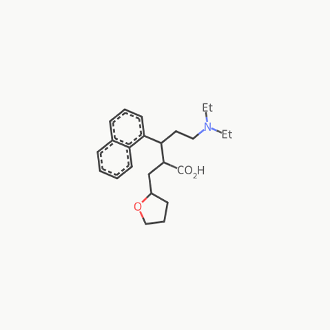 CCN(CC)CCC(c1cccc2ccccc12)C(CC1CCCO1)C(=O)O